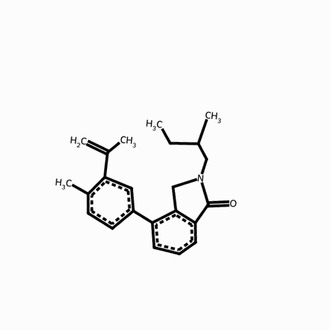 C=C(C)c1cc(-c2cccc3c2CN(CC(C)CC)C3=O)ccc1C